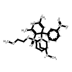 COCCOP(=O)(OCCOC)C1=C(C)NC(C)=CC1(c1cccc([N+](=O)[O-])c1)N1CCCCC1